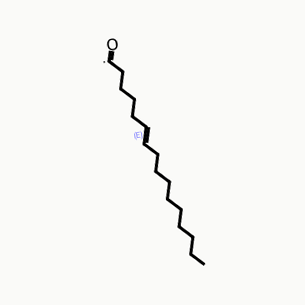 CCCCCCCCC/C=C/CCCC[C]=O